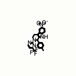 Cc1ccc(C2c3[nH]c4ccc([N+](=O)[O-])cc4c3CCN2c2nccc(C(F)(F)F)n2)cc1